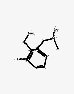 CC(C)N(C)Cc1cccc(F)c1CN